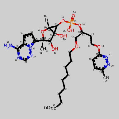 CCCCCCCCCCCCCCCCCCOC[C@H](CCOc1ccc(C#N)nn1)OP(=O)(O)OC1[C@H]2O[C@@](C)(c3ccc4c(N)ncnn34)[C@H](O)[C@@]12O